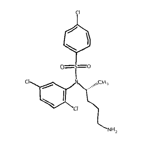 C[C@H](CCCN)N(c1cc(Cl)ccc1Cl)S(=O)(=O)c1ccc(Cl)cc1